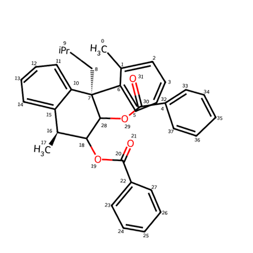 Cc1ccccc1[C@]1(CC(C)C)c2ccccc2[C@H](C)C(OC(=O)c2ccccc2)C1OC(=O)c1ccccc1